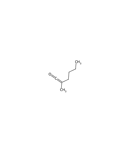 CCCCC(C)=C=O